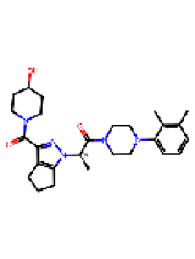 Cc1cccc(N2CCN(C(=O)[C@@H](C)n3nc(C(=O)N4CCC(O)CC4)c4c3CCC4)CC2)c1C